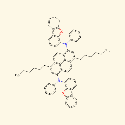 CCCCCCc1cc(N(c2ccccc2)c2cccc3c4c(oc23)CCC=C4)c2ccc3c(CCCCCC)cc(N(c4ccccc4)c4cccc5c4oc4ccccc45)c4ccc1c2c34